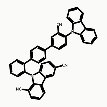 N#Cc1ccc2c(c1)c1cccc(C#N)c1n2-c1ccccc1-c1ccc(-c2ccc(-n3c4ccccc4c4ccccc43)c(C#N)c2)cc1